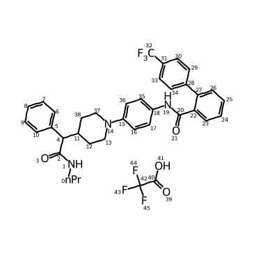 CCCNC(=O)C(c1ccccc1)C1CCN(c2ccc(NC(=O)c3ccccc3-c3ccc(C(F)(F)F)cc3)cc2)CC1.O=C(O)C(F)(F)F